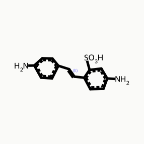 Nc1ccc(/C=C/c2ccc(N)cc2S(=O)(=O)O)cc1